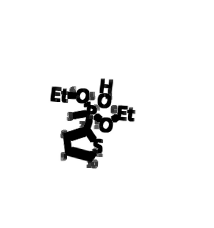 CCOP(C)(O)(OCC)c1cccs1